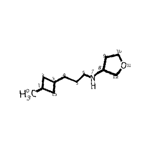 CC1CC(CCCNC2CCOC2)C1